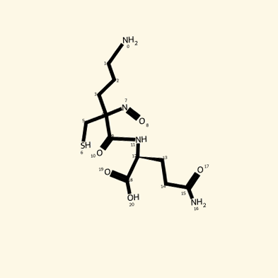 NCCCC(CS)(N=O)C(=O)N[C@@H](CCC(N)=O)C(=O)O